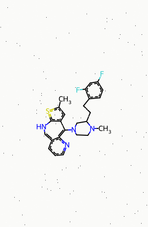 Cc1cc2c(s1)NC=c1cccnc1=C2N1CCN(C)C(CCc2ccc(F)cc2F)C1